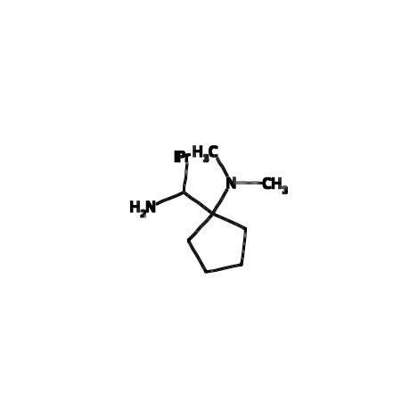 CC(C)C(N)C1(N(C)C)CCCC1